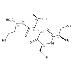 CC(C)C[C@H](NC(=O)[C@H](N)CS)C(=O)N[C@H](C(=O)N[C@H](CCS)C(=O)O)[C@@H](C)O